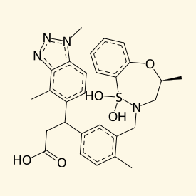 Cc1ccc(C(CC(=O)O)c2ccc3c(nnn3C)c2C)cc1CN1C[C@H](C)Oc2ccccc2S1(O)O